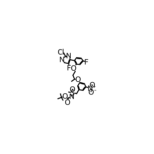 CC(CCOc1cc(F)ccc1-c1nc(Cl)ncc1F)Oc1cc(CS(C)(=O)=NC(=O)OC(C)(C)C)cc([N+](=O)[O-])c1